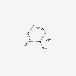 Cc1cccc[c]1[Zn+].[Br-]